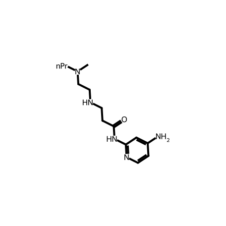 CCCN(C)CCNCCC(=O)Nc1cc(N)ccn1